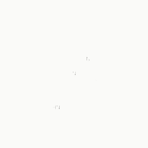 CSc1nc2ccccc2n1C1CCNCC1